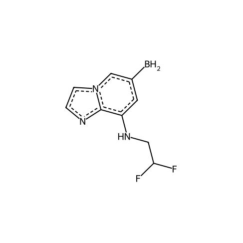 Bc1cc(NCC(F)F)c2nccn2c1